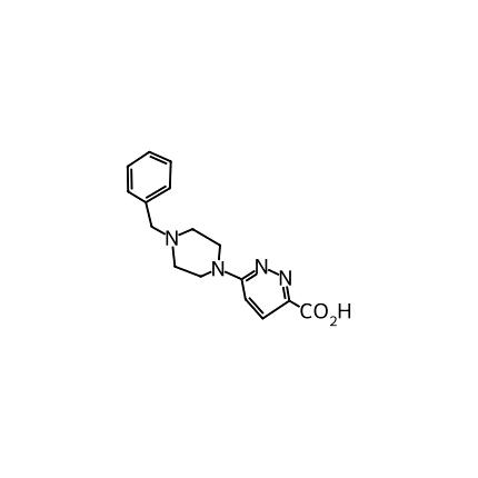 O=C(O)c1ccc(N2CCN(Cc3ccccc3)CC2)nn1